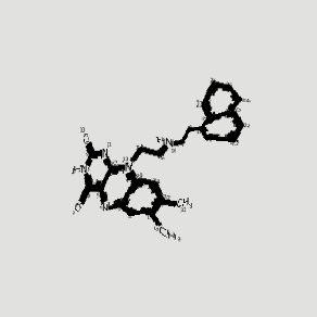 Cc1cc2nc3c(=O)[nH]c(=O)nc-3n(CCNCCc3cccc4ccccc34)c2cc1C